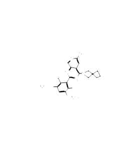 COc1cc(OC)c(Cl)c(-c2nc(N3CC4(CCC4)C3)c3cc(N)ncc3n2)c1Cl